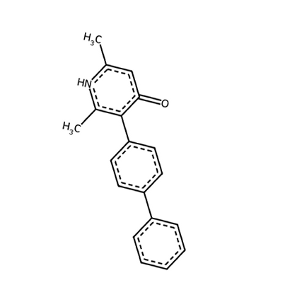 Cc1cc(=O)c(-c2ccc(-c3ccccc3)cc2)c(C)[nH]1